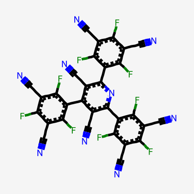 N#Cc1c(F)c(C#N)c(F)c(-c2nc(-c3c(F)c(C#N)c(F)c(C#N)c3F)c(C#N)c(-c3c(F)c(C#N)c(F)c(C#N)c3F)c2C#N)c1F